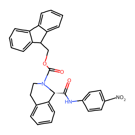 O=C(Nc1ccc([N+](=O)[O-])cc1)[C@@H]1c2ccccc2CCN1C(=O)OCC1c2ccccc2-c2ccccc21